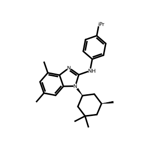 Cc1cc(C)c2nc(Nc3ccc(C(C)C)cc3)n([C@H]3C[C@@H](C)CC(C)(C)C3)c2c1